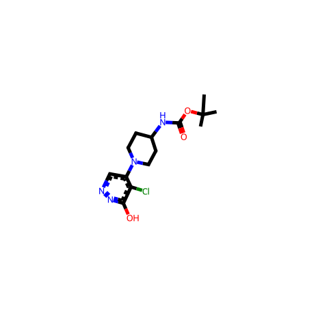 CC(C)(C)OC(=O)NC1CCN(c2cnnc(O)c2Cl)CC1